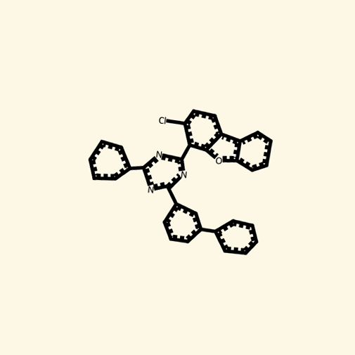 Clc1ccc2c(oc3ccccc32)c1-c1nc(-c2ccccc2)nc(-c2cccc(-c3ccccc3)c2)n1